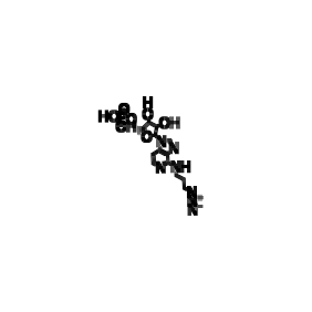 [N-]=[N+]=NCCCNc1nccc2c1ncn2C1O[C@H](COP(=O)(O)O)C(O)C1O